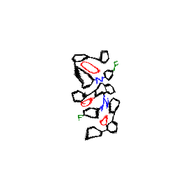 Fc1ccc(N(c2cccc3c2oc2c(C4CCCC4)cccc23)c2c3ccccc3c(N(c3ccc(F)cc3)c3cccc4c3oc3c(C5CCCC5)cccc34)c3c2oc2ccccc23)cc1